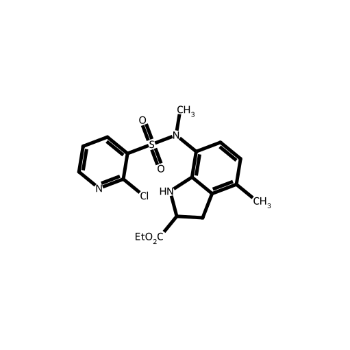 CCOC(=O)C1Cc2c(C)ccc(N(C)S(=O)(=O)c3cccnc3Cl)c2N1